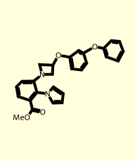 COC(=O)c1cccc(N2CC(Oc3cccc(Oc4ccccc4)c3)C2)c1-n1cccc1